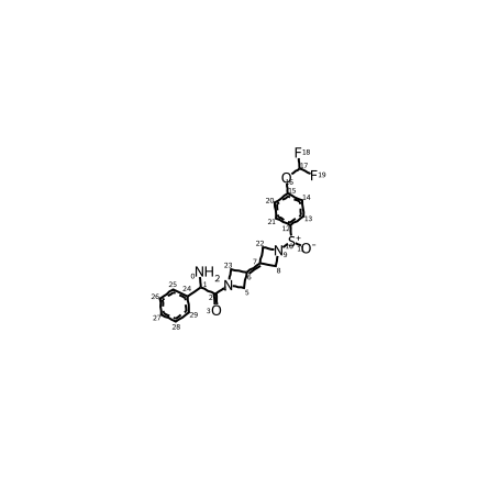 NC(C(=O)N1CC(=C2CN([S+]([O-])c3ccc(OC(F)F)cc3)C2)C1)c1ccccc1